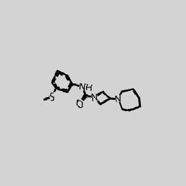 CSc1cccc(NC(=O)N2CC(N3CCCCCC3)C2)c1